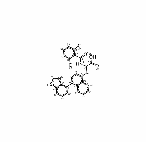 O=C(NC(Cc1ccc(-c2cccc3scnc23)c2cccnc12)C(=O)O)c1c(Cl)cccc1Cl